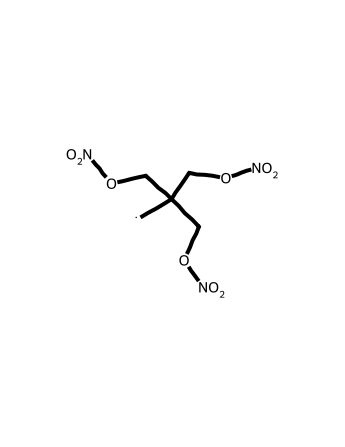 [CH2]C(CO[N+](=O)[O-])(CO[N+](=O)[O-])CO[N+](=O)[O-]